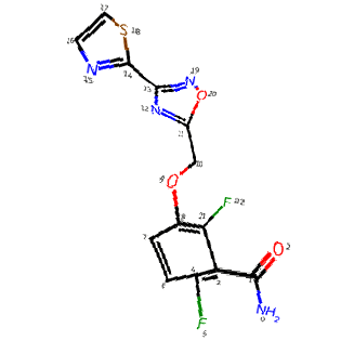 NC(=O)c1c(F)ccc(OCc2nc(-c3nccs3)no2)c1F